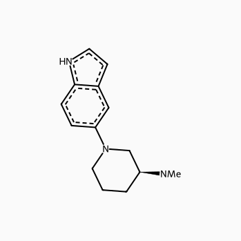 CN[C@H]1CCCN(c2ccc3[nH]ccc3c2)C1